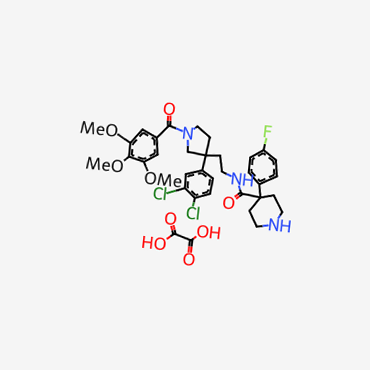 COc1cc(C(=O)N2CCC(CCNC(=O)C3(c4ccc(F)cc4)CCNCC3)(c3ccc(Cl)c(Cl)c3)C2)cc(OC)c1OC.O=C(O)C(=O)O